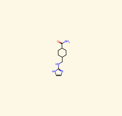 NC(=O)C1CCC(CNc2ncc[nH]2)CC1